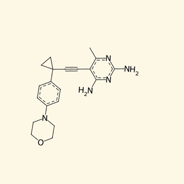 Cc1nc(N)nc(N)c1C#CC1(c2ccc(N3CCOCC3)cc2)CC1